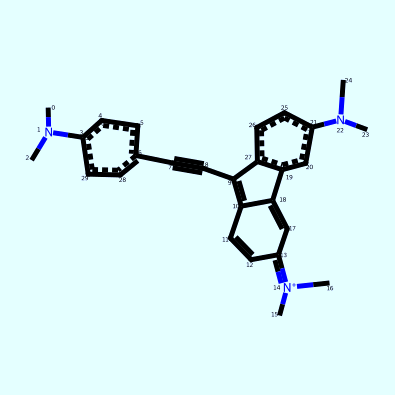 CN(C)c1ccc(C#CC2=C3C=CC(=[N+](C)C)C=C3c3cc(N(C)C)ccc32)cc1